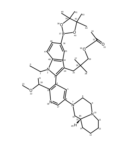 CCn1c(-c2cc(N3CCN4CCCC[C@@H]4C3)cnc2C(C)OC)c(CC(C)(C)COC(C)=O)c2cc(B3OC(C)(C)C(C)(C)O3)ccc21